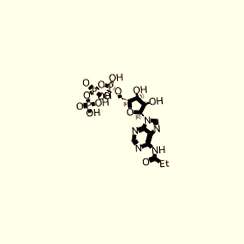 CCC(=O)Nc1ncnc2c1ncn2[C@@H]1O[C@H](COP(=O)(O)OP(=O)(O)OP(=O)(O)O)[C@@H](O)[C@H]1O